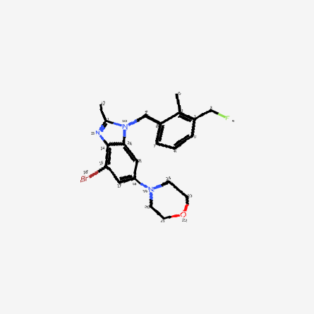 Cc1c(CF)cccc1Cn1c(C)nc2c(Br)cc(N3CCOCC3)cc21